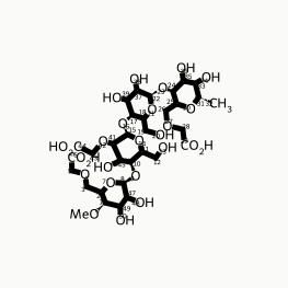 CO[C@@H]1C(COCC(=O)O)O[C@@H](O[C@@H]2C(CO)O[C@@H](O[C@@H]3C(CO)O[C@@H](O[C@@H]4C(COCC(=O)O)O[C@@H](C)C(O)C4O)C(O)C3O)C(OCC(=O)O)C2O)C(O)C1O